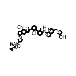 Cc1c(Nc2nccc3cc(CN4CC[C@@H](O)C4)cnc23)cccc1-c1cccc(-c2cc3cc4c(c(C#N)c3o2)CC[C@H]4N2CC[C@@H](C(=O)NS(=O)(=O)C3CC3)C2)c1Cl